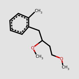 COCCC(Cc1ccccc1C)OC